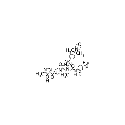 CCc1c(N2CCN(C(=O)c3ncnc(C)c3O)CC2)c(=O)n2nc(-c3ccc(C(C)(C)N4CCOCC4)cc3)nc2n1CC(=O)Nc1ccc(C(F)(F)F)cc1Cl